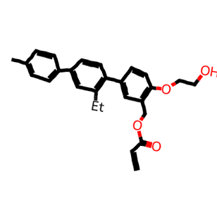 C=CC(=O)OCc1cc(-c2ccc(-c3ccc(C)cc3)cc2CC)ccc1OCCO